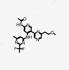 COCCc1cncc(-c2cnc(NC(C)=O)cc2Nc2cc(C)nc(C(C)(F)F)n2)n1